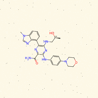 C[C@H](O)CNc1nc(Nc2ccc(N3CCOCC3)cc2)c(C(N)=O)nc1-c1cccc2c1ncn2C